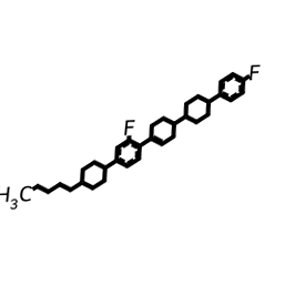 CCCCCC1CCC(c2ccc(C3=CCC(C4CCC(c5ccc(F)cc5)CC4)CC3)c(F)c2)CC1